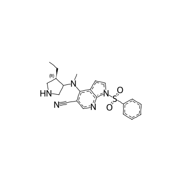 CC[C@@H]1CNCC1N(C)c1c(C#N)cnc2c1ccn2S(=O)(=O)c1ccccc1